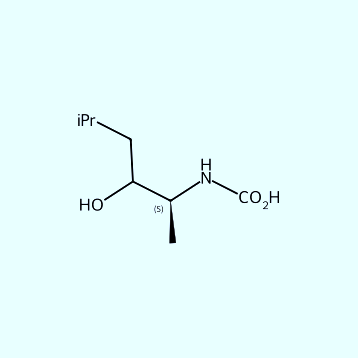 CC(C)CC(O)[C@H](C)NC(=O)O